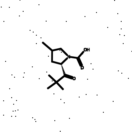 CC1C[C@@H](C(=O)C(C)(C)C)N(C(=O)O)C1